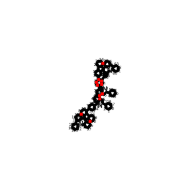 c1ccc(-c2cc(-c3ccc(-c4ccc(-c5ccc6c(c5)C5(c7ccccc7-6)c6cc(-c7cccc(-c8nc(-c9ccccc9)cc(-c9ccccc9)n8)c7)ccc6-n6c7ccccc7c7cccc5c76)cc4)cc3)nc(-c3ccc(-c4cccc5c4-c4ccccc4C54c5ccccc5-n5c6ccccc6c6cccc4c65)cc3)n2)cc1